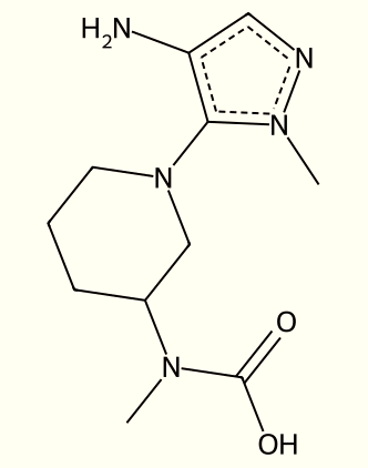 CN(C(=O)O)C1CCCN(c2c(N)cnn2C)C1